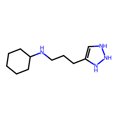 C1=C(CCCNC2CCCCC2)NNN1